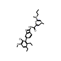 C/C=C(\S/C(=C\CC)C(=O)NC1=Nc2cc(-c3c(Cl)c(OC)cc(CC)c3CC)ccc21)N(C)CCC